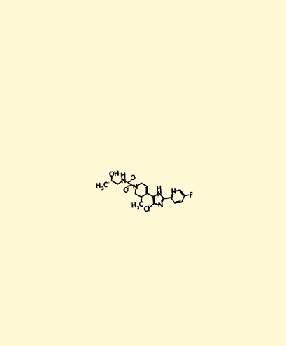 C[C@H](O)CNS(=O)(=O)N1CC=C(c2[nH]c(-c3ccc(F)cn3)nc2Cl)[C@@H](C)C1